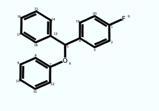 Fc1ccc(C(Oc2cc[c]cc2)c2ccccc2)cc1